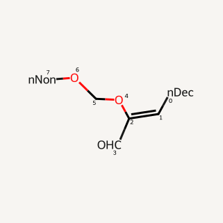 CCCCCCCCCCC=C(C=O)OCOCCCCCCCCC